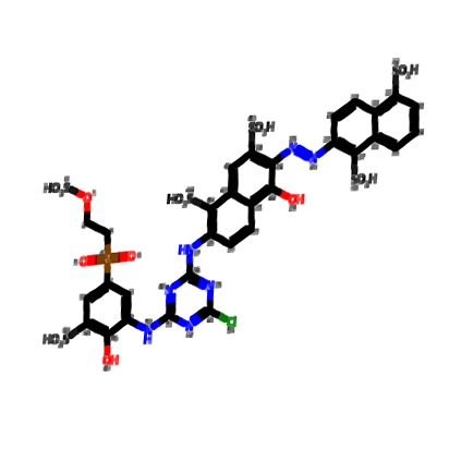 O=S(=O)(O)OCCS(=O)(=O)c1cc(Nc2nc(Cl)nc(Nc3ccc4c(O)c(/N=N/c5ccc6c(S(=O)(=O)O)cccc6c5S(=O)(=O)O)c(S(=O)(=O)O)cc4c3S(=O)(=O)O)n2)c(O)c(S(=O)(=O)O)c1